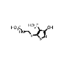 O=C(O)NCSc1snc(O)c1C(=O)O